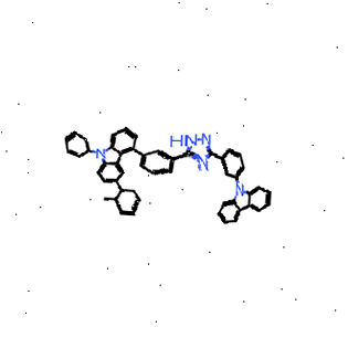 CC1CC=CCC1c1ccc2c(c1)c1c(-c3cccc(-c4nc(-c5cccc(-n6c7ccccc7c7ccccc76)c5)n[nH]4)c3)cccc1n2C1C=CC=CC1